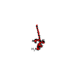 CCCCCCCCCCCCCCCCCCC[C@H](COP(=O)(OC[C@@](C#N)(OC)[C@H]1OC(C)(C)O[C@H]1c1ccc2c(N)ncnn12)Oc1ccccc1Cl)OCc1ccc(C#N)c(OC)c1